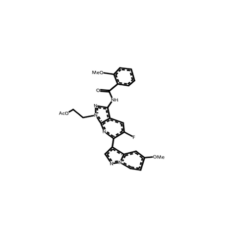 COc1ccn2ncc(-c3nc4c(cc3F)c(NC(=O)c3ccccc3OC)nn4CCOC(C)=O)c2c1